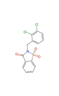 O=C1c2ccccc2S(=O)(=O)N1Cc1cccc(Cl)c1Cl